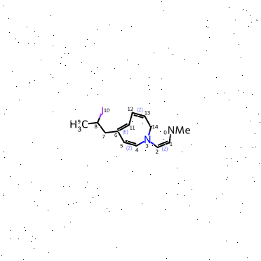 CN/C=C\N1\C=C/C(CC(C)I)=C/C=C\C1